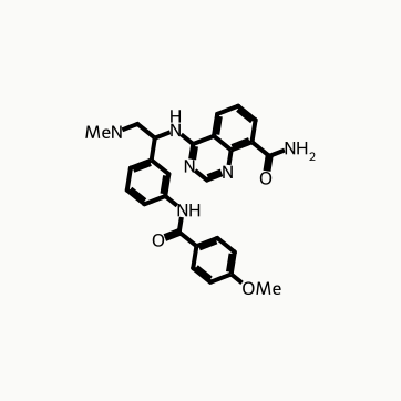 CNCC(Nc1ncnc2c(C(N)=O)cccc12)c1cccc(NC(=O)c2ccc(OC)cc2)c1